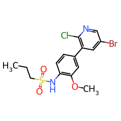 CCCS(=O)(=O)Nc1ccc(-c2cc(Br)cnc2Cl)cc1OC